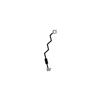 ClCCCCCC#CBr